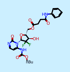 CCCCOC(=O)Nc1ccnc(=O)n1[C@@H]1O[C@H](COC(=O)CCC(=O)Nc2ccccc2)[C@@H](O)C1(F)F